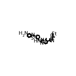 CCOC(C)n1cc(-c2ccc3nc(NC4CCCN(c5nc6cc(N)ccc6s5)C4)nn3c2C)cn1